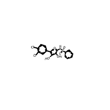 CC(=O)Oc1c(NS(=O)(=O)c2ccccc2)oc(-c2ccc(Cl)c(Cl)c2)c1O